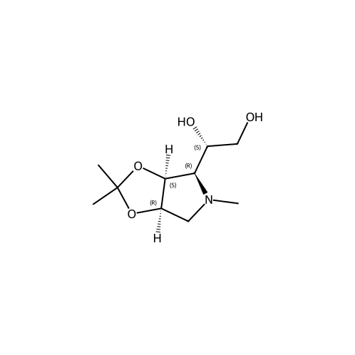 CN1C[C@H]2OC(C)(C)O[C@H]2[C@H]1[C@H](O)CO